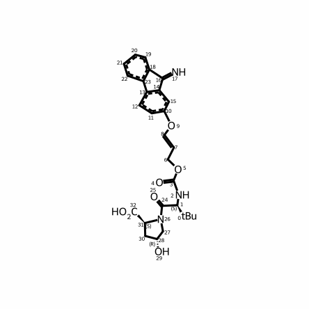 CC(C)(C)[C@H](NC(=O)OCC=COc1ccc2c(c1)C(=N)c1ccccc1-2)C(=O)N1C[C@H](O)C[C@H]1C(=O)O